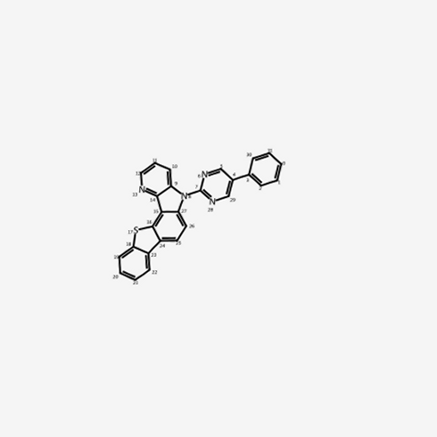 c1ccc(-c2cnc(-n3c4cccnc4c4c5sc6ccccc6c5ccc43)nc2)cc1